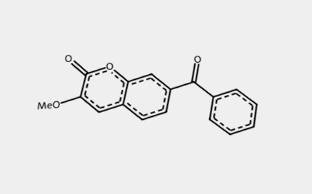 COc1cc2ccc(C(=O)c3ccccc3)cc2oc1=O